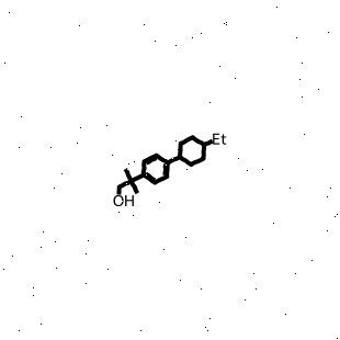 CCC1CCC(c2ccc(C(C)(C)CO)cc2)CC1